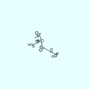 CCC[N+]1=C(/C=C/C2=C(n3cc(CCC(=O)O)nn3)C(=C/C=C3/N(CCCCCCNCCN4C(=O)C=CC4=O)c4ccccc4C3(C)C)/CCC2)C(C)(C)c2ccccc21